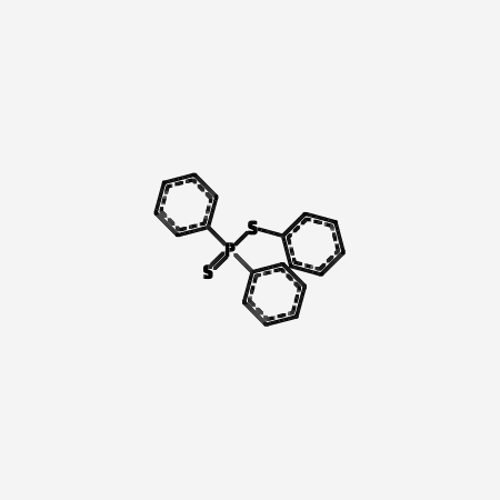 S=P(Sc1ccccc1)(c1ccccc1)c1ccccc1